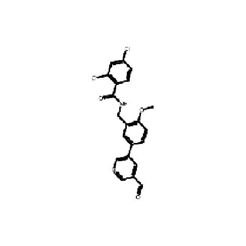 COc1ccc(-c2cncc(C=O)c2)cc1CNC(=O)c1ccc(Cl)cc1Cl